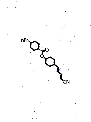 CCC[C@H]1CC[C@H](C(=O)OC2CCC(/C=C/C=CC#N)CC2)CC1